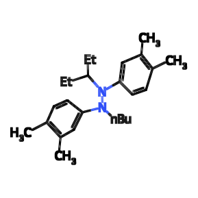 CCCCN(c1ccc(C)c(C)c1)N(c1ccc(C)c(C)c1)C(CC)CC